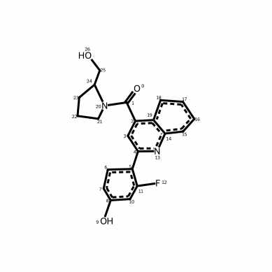 O=C(c1cc(-c2ccc(O)cc2F)nc2ccccc12)N1CCCC1CO